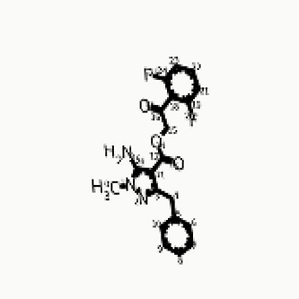 Cn1nc(Cc2ccccc2)c(C(=O)OCC(=O)c2c(F)cccc2F)c1N